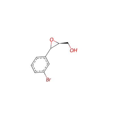 OC[C@@H]1OC1c1cccc(Br)c1